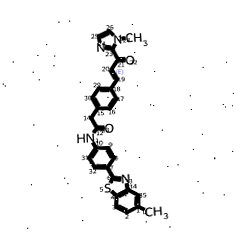 Cc1ccc2sc(-c3ccc(NC(=O)Cc4ccc(/C=C/C(=O)c5nccn5C)cc4)cc3)nc2c1